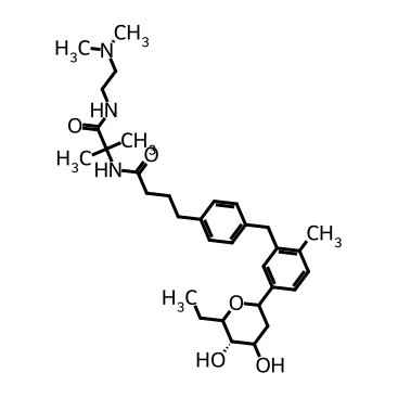 CCC1OC(c2ccc(C)c(Cc3ccc(CCCC(=O)NC(C)(C)C(=O)NCCN(C)C)cc3)c2)CC(O)[C@@H]1O